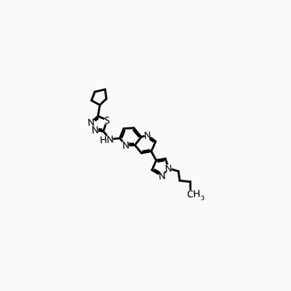 CCCCn1cc(-c2cnc3ccc(Nc4nnc(C5CCCC5)s4)nc3c2)cn1